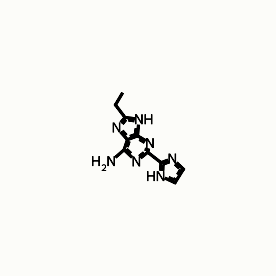 CCc1nc2c(N)nc(-c3ncc[nH]3)nc2[nH]1